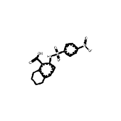 O=C(O)c1c(NS(=O)(=O)c2ccc([N+](=O)[O-])cc2)ccc2c1CCCC2